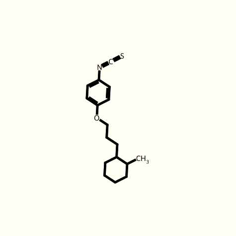 CC1CCCCC1CCCOc1ccc(N=C=S)cc1